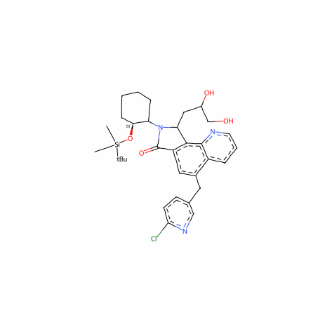 CC(C)(C)[Si](C)(C)O[C@H]1CCCCC1N1C(=O)c2cc(Cc3ccc(Cl)nc3)c3cccnc3c2C1CC(O)CO